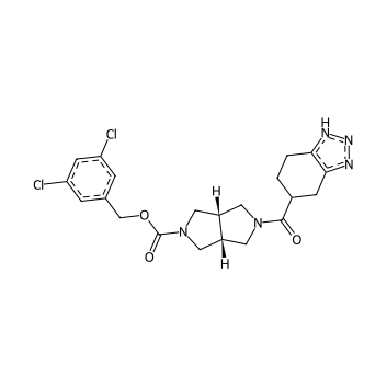 O=C(OCc1cc(Cl)cc(Cl)c1)N1C[C@@H]2CN(C(=O)C3CCc4[nH]nnc4C3)C[C@@H]2C1